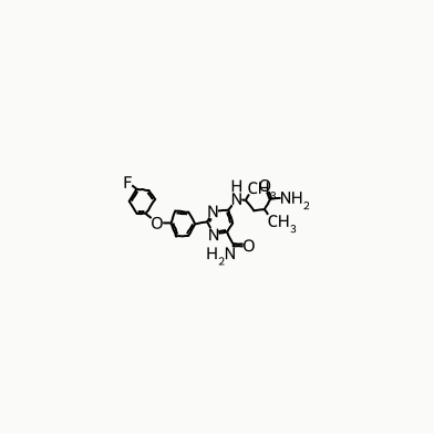 CC(CC(C)C(N)=O)Nc1cc(C(N)=O)nc(-c2ccc(Oc3ccc(F)cc3)cc2)n1